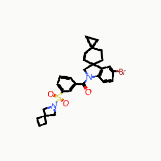 O=C(c1cccc(S(=O)(=O)N2CC3(CCC3)C2)c1)N1CC2(CCC3(CC3)CC2)c2cc(Br)ccc21